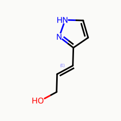 OC/C=C/c1cc[nH]n1